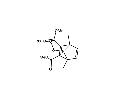 COC(=O)C1=C(C(=O)OC)C2(C)C=CC1(C)N2C(=O)OC(C)(C)C